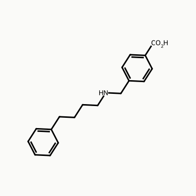 O=C(O)c1ccc(CNCCCCc2ccccc2)cc1